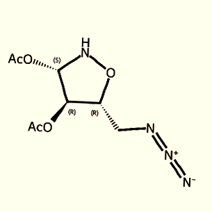 CC(=O)O[C@@H]1[C@@H](CN=[N+]=[N-])ON[C@H]1OC(C)=O